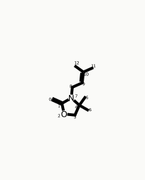 C=C1OCC(C)(C)N1CC=C(C)C